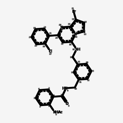 CC(=O)Nc1ccccc1C(=O)NCc1cccc(CNc2cc(-c3ccccc3Cl)nc3c(Br)cnn23)c1